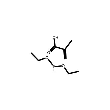 C=C(C)C(=O)O.CCOPOCC